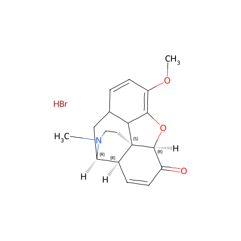 Br.COC1=C2O[C@H]3C(=O)C=C[C@H]4[C@H]5CC(C=C1)C2[C@@]34CCN5C